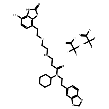 O=C(CCNCCNCCc1ccc(O)c2[nH]c(=O)sc12)N(CCc1ccc2c(c1)OCO2)C1CCCCC1.O=C(O)C(F)(F)F.O=C(O)C(F)(F)F